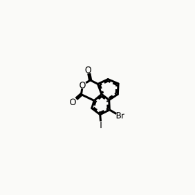 O=C1OC(=O)c2cc(I)c(Br)c3cccc1c23